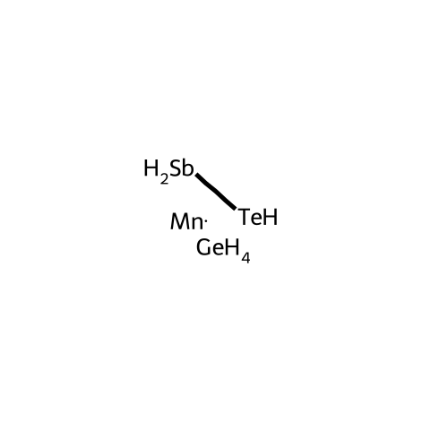 [GeH4].[Mn].[SbH2][TeH]